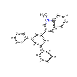 C[n+]1cc(-c2cc(-c3ccccc3)cc(-c3ccccc3)c2)cc2ccccc21